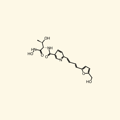 C[C@@H](O)[C@H](NC(=O)c1ccc(/C=C/C=C/c2ccc(CO)o2)nc1)C(=O)NO